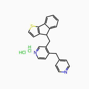 Cl.Cl.c1ccc2c(c1)-c1sccc1C2Cc1cnccc1Cc1ccncc1